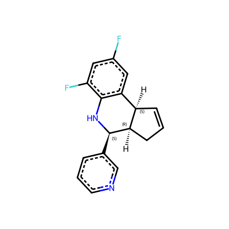 Fc1cc(F)c2c(c1)[C@H]1C=CC[C@H]1[C@@H](c1cccnc1)N2